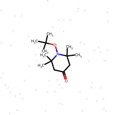 CC(C)(C)ON1C(C)(C)CC(=O)CC1(C)C